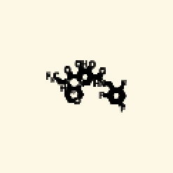 O=C(NCc1c(F)cc(F)cc1F)c1cn2c(c(O)c1=O)C(=O)N(CC(F)(F)F)[C@@H]1CCOCC12